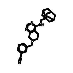 N#Cc1cccc(CN2CCc3c(ncnc3NCC34CC5CC(CC(C5)C3)C4)C2)c1